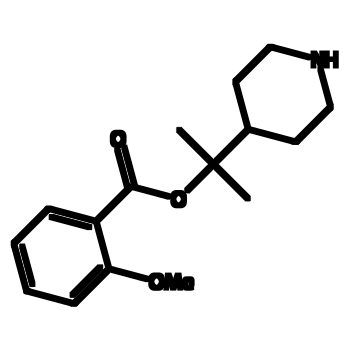 COc1ccccc1C(=O)OC(C)(C)C1CCNCC1